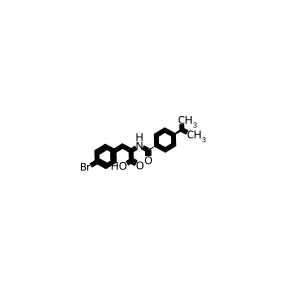 CC(C)[C@H]1CC[C@H](C(=O)NC(Cc2ccc(Br)cc2)C(=O)O)CC1